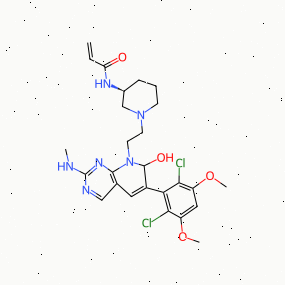 C=CC(=O)N[C@H]1CCCN(CCN2c3nc(NC)ncc3C=C(c3c(Cl)c(OC)cc(OC)c3Cl)C2O)C1